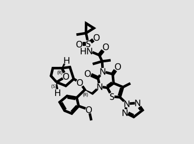 COc1ccccc1[C@H](Cn1c(=O)n(C(C)(C)C(=O)NS(=O)(=O)C2(C)CC2)c(=O)c2c(C)c(-n3nccn3)sc21)OC1C[C@H]2CC[C@@H](C1)O2